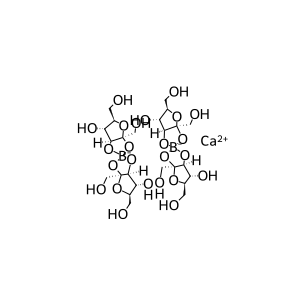 OC[C@H]1O[C@@]2(CO)O[B-]3(O[C@H]2[C@@H]1O)O[C@H]1[C@H](O)[C@@H](CO)O[C@@]1(CO)O3.OC[C@H]1O[C@@]2(CO)O[B-]3(O[C@H]2[C@@H]1O)O[C@H]1[C@H](O)[C@@H](CO)O[C@@]1(CO)O3.[Ca+2]